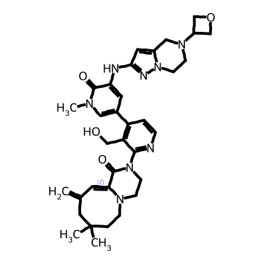 C=C1/C=C2/C(=O)N(c3nccc(-c4cc(Nc5cc6n(n5)CCN(C5COC5)C6)c(=O)n(C)c4)c3CO)CCN2CCC(C)(C)C1